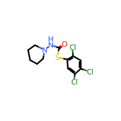 O=C(NN1CCCCC1)Sc1cc(Cl)c(Cl)cc1Cl